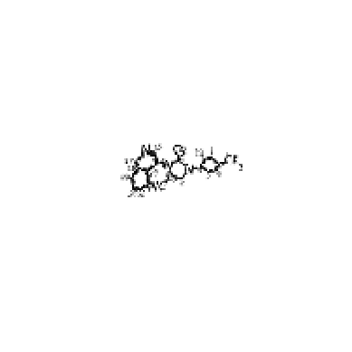 N#C[C@@H]1CN(c2ccc(C(F)(F)F)cc2)C(=O)N1c1cncc2ccccc12